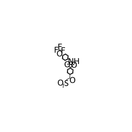 CC(=O)SCC(=O)c1ccc(S(=O)(=O)Nc2ccc(OC(F)(F)F)cc2)cc1